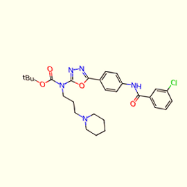 CC(C)(C)OC(=O)N(CCCN1CCCCC1)c1nnc(-c2ccc(NC(=O)c3cccc(Cl)c3)cc2)o1